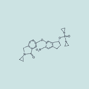 O=C1c2cc(Oc3cc4c(cc3[N+](=O)[O-])CC[C@H]4OP(=O)(N3CC3)N3CC3)ccc2CN1C1CC1